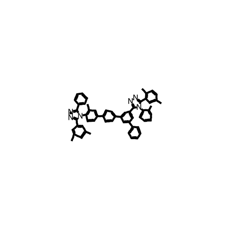 Cc1cc(C)cc(-c2nnc(-c3ccccc3)n2-c2ccc(-c3ccc(-c4cc(-c5ccccc5)cc(-c5nnc(-c6cc(C)ccc6C)n5-c5ccccc5C)c4)cc3)cc2C)c1